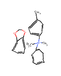 Cc1ccc([N+](C)(C)C2C=CC=CC2)cc1.c1ccc2c(c1)OCO2